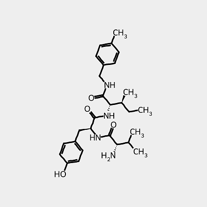 CC[C@H](C)[C@H](NC(=O)[C@H](Cc1ccc(O)cc1)NC(=O)[C@@H](N)C(C)C)C(=O)NCc1ccc(C)cc1